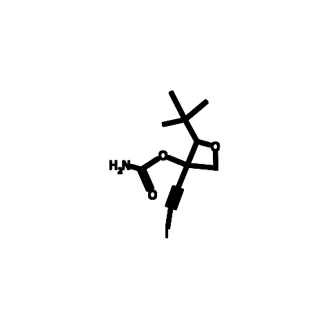 CC(C)(C)C1OCC1(C#CI)OC(N)=O